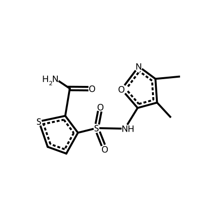 Cc1noc(NS(=O)(=O)c2ccsc2C(N)=O)c1C